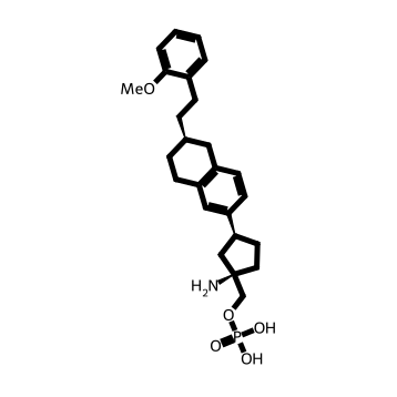 COc1ccccc1CC[C@@H]1CCc2cc([C@H]3CC[C@](N)(COP(=O)(O)O)C3)ccc2C1